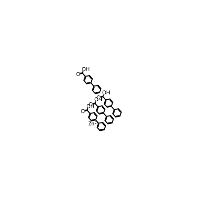 O=C(O)c1ccc(-c2ccccc2)cc1.O=C(O)c1ccc(-c2ccccc2)cc1.O=C(O)c1ccc(-c2ccccc2)cc1.O=C(O)c1ccc(-c2ccccc2)cc1.[Zn+2]